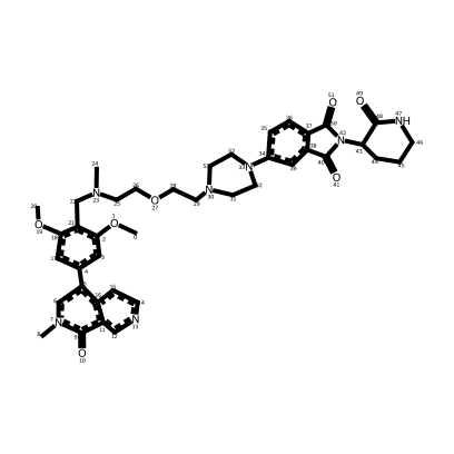 COc1cc(-c2cn(C)c(=O)c3cnccc23)cc(OC)c1CN(C)CCOCCN1CCN(c2ccc3c(c2)C(=O)N(C2CCCNC2=O)C3=O)CC1